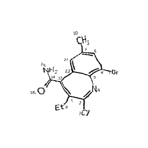 CCc1c(Cl)nc2c(Br)cc(C)cc2c1C(N)=O